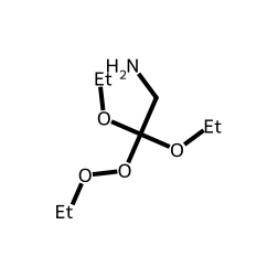 CCOOC(CN)(OCC)OCC